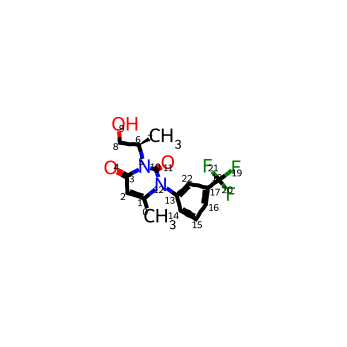 Cc1cc(=O)n([C@H](C)CO)c(=O)n1-c1cccc(C(F)(F)F)c1